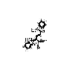 CC[n+]1c(C=CC2=C3Nc4ccccc4N3N(C)C2C)sc2ccccc21.[Br-]